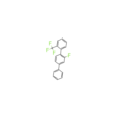 Fc1cc(-c2ccccc2)ccc1-c1cc[c]cc1C(F)(F)F